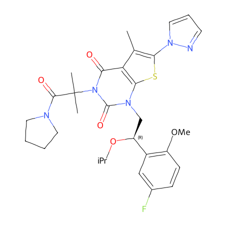 COc1ccc(F)cc1[C@H](Cn1c(=O)n(C(C)(C)C(=O)N2CCCC2)c(=O)c2c(C)c(-n3cccn3)sc21)OC(C)C